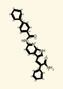 NC(=O)C(=Cc1c[nH]c2nc(NC(=O)c3ccc(-c4ccccc4)cc3)ccc12)c1ccccc1